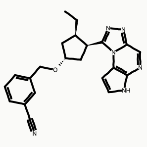 CC[C@@H]1C[C@@H](OCc2cccc(C#N)c2)C[C@@H]1c1nnc2cnc3[nH]ccc3n12